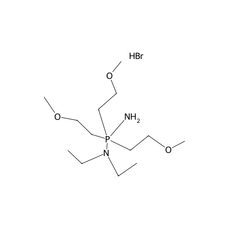 Br.CCN(CC)P(N)(CCOC)(CCOC)CCOC